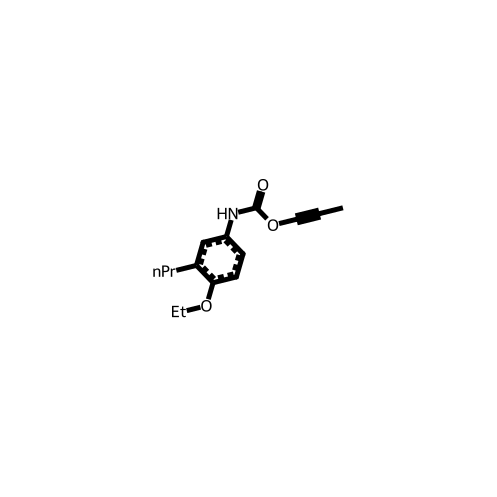 CC#COC(=O)Nc1ccc(OCC)c(CCC)c1